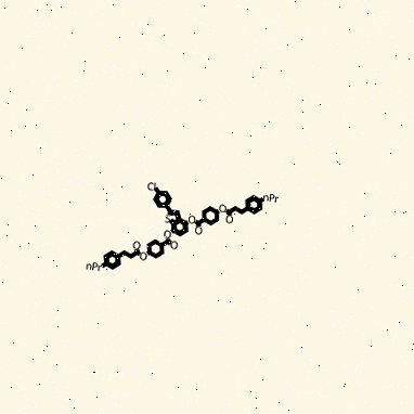 CCCc1ccc(CCC(=O)OC2CCC(C(=O)Oc3ccc(OC(=O)C4CCC(OC(=O)CCc5ccc(CCC)cc5)CC4)c4sc(-c5ccc(Cl)cc5)cc34)CC2)cc1